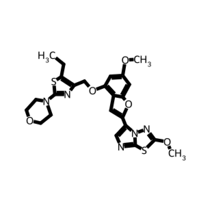 CCc1sc(N2CCOCC2)nc1COc1cc(OC)cc2oc(-c3cnc4sc(OC)nn34)cc12